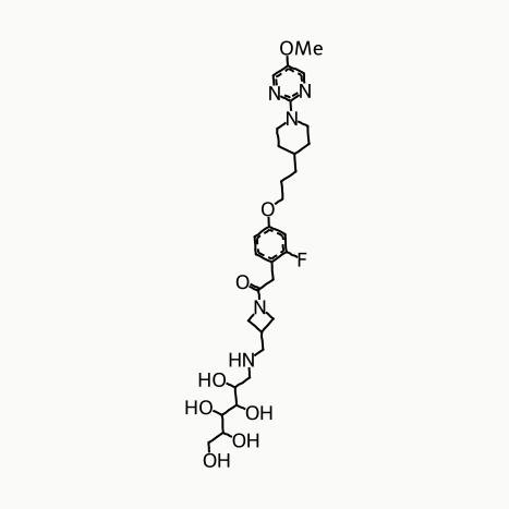 COc1cnc(N2CCC(CCCOc3ccc(CC(=O)N4CC(CNCC(O)C(O)C(O)C(O)CO)C4)c(F)c3)CC2)nc1